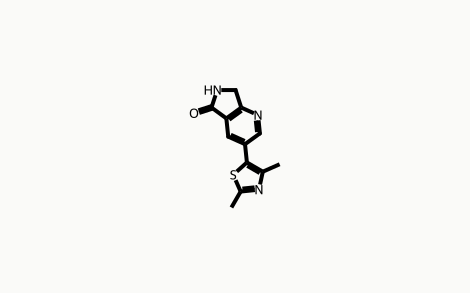 Cc1nc(C)c(-c2cnc3c(c2)C(=O)NC3)s1